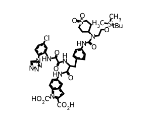 CC(C)(C)[Si](C)(C)OCCN(C(=O)Nc1ccc(CC(NC(=O)C(=O)Nc2cc(Cl)ccc2-n2cnnn2)C(=O)Nc2ccc3c(c2)cc(C(=O)O)n3C(=O)O)cc1)C1CCS(=O)(=O)CC1